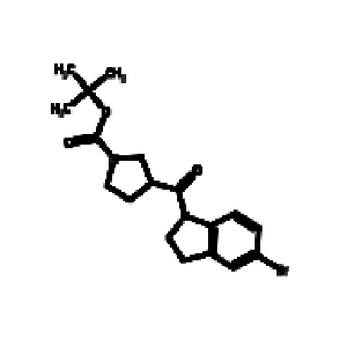 CC(C)(C)OC(=O)N1CCC(C(=O)N2CCc3cc(Br)ccc32)C1